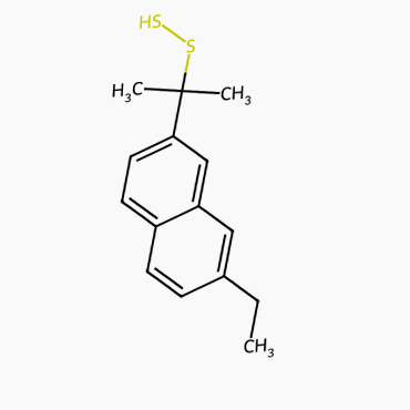 CCc1ccc2ccc(C(C)(C)SS)cc2c1